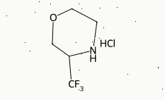 Cl.FC(F)(F)C1COCCN1